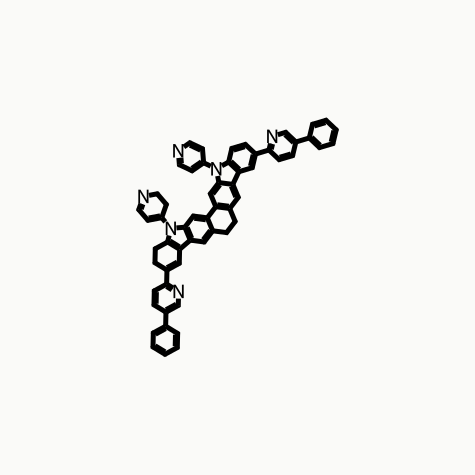 C1=NCCC(n2c3c(c4cc5c(cc42)-c2cc4c(cc2CC5)c2cc(-c5ccc(-c6ccccc6)cn5)ccc2n4-c2ccncc2)C=C(c2ccc(-c4ccccc4)cn2)CC3)=C1